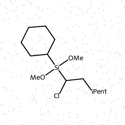 CCCC(C)CC(Cl)[Si](OC)(OC)C1CCCCC1